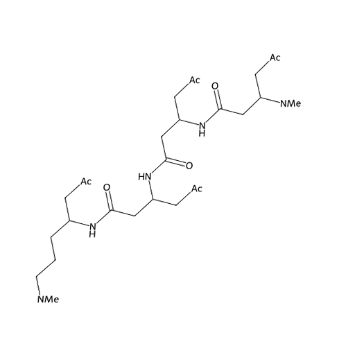 CNCCCC(CC(C)=O)NC(=O)CC(CC(C)=O)NC(=O)CC(CC(C)=O)NC(=O)CC(CC(C)=O)NC